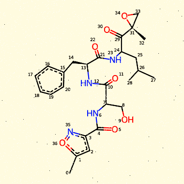 Cc1cc(C(=O)NC(CO)C(=O)N[C@@H](Cc2ccccc2)C(=O)NC(CC(C)C)C(=O)[C@@]2(C)CO2)no1